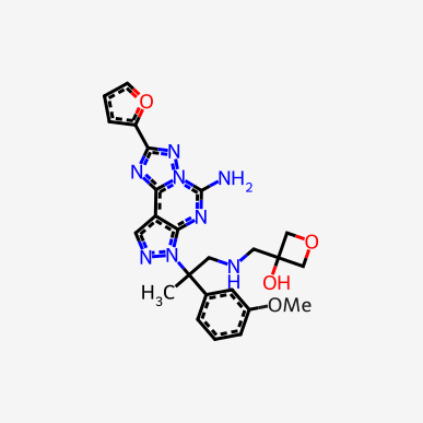 COc1cccc(C(C)(CNCC2(O)COC2)n2ncc3c2nc(N)n2nc(-c4ccco4)nc32)c1